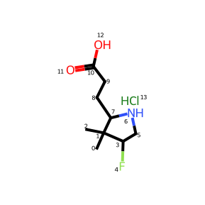 CC1(C)C(F)CNC1CCC(=O)O.Cl